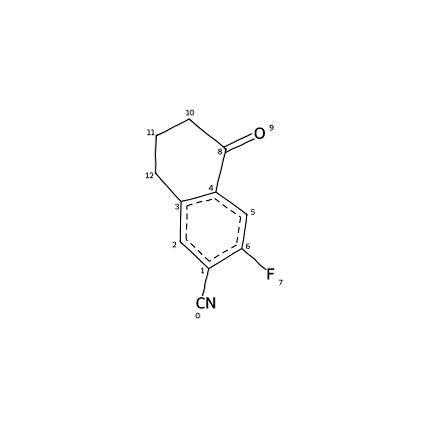 N#Cc1cc2c(cc1F)C(=O)CCC2